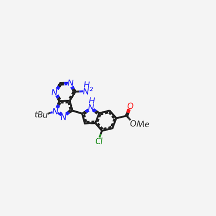 COC(=O)c1cc(Cl)c2cc(-c3nn(C(C)(C)C)c4ncnc(N)c34)[nH]c2c1